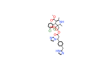 COC(=O)C1=C(C)NC(C)C(CCOC(=O)CC(c2ccc(Cc3ncc[nH]3)cc2)n2ccnc2)(C(=O)O)C1c1cccc(Cl)c1Cl